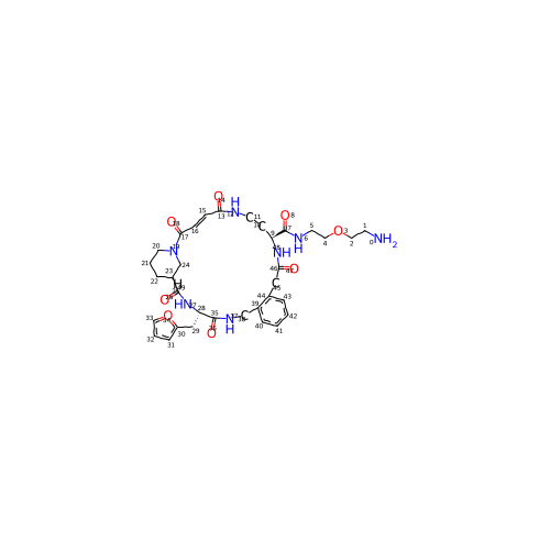 NCCOCCNC(=O)[C@@H]1CCNC(=O)/C=C/C(=O)N2CCC[C@@H](C2)C(=O)N[C@@H](Cc2ccco2)C(=O)NCc2ccccc2CC(=O)N1